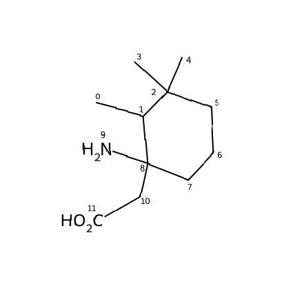 CC1C(C)(C)CCCC1(N)CC(=O)O